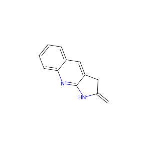 C=C1Cc2cc3ccccc3nc2N1